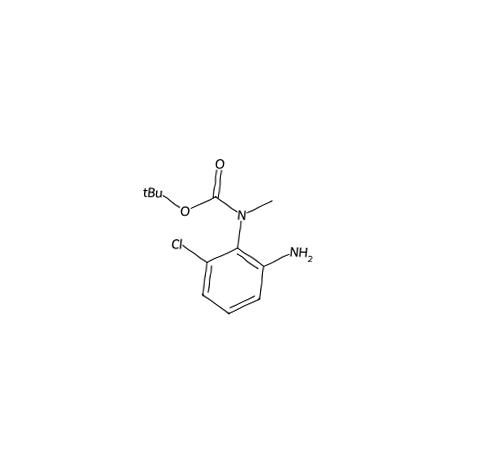 CN(C(=O)OC(C)(C)C)c1c(N)cccc1Cl